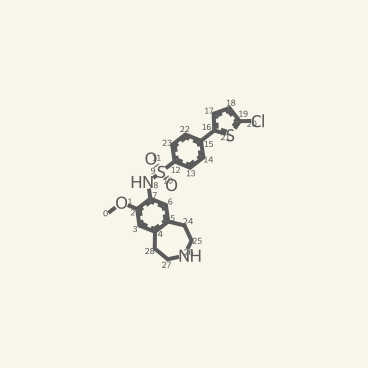 COc1cc2c(cc1NS(=O)(=O)c1ccc(-c3ccc(Cl)s3)cc1)CCNCC2